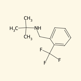 CC(C)(C)NCc1ccccc1C(F)(F)F